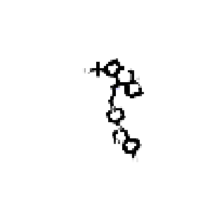 CC(C)(O)c1ccc2c(c1)/C(=C/CCN1CCC(N(CC(=O)O)Cc3ccc(Cl)cc3)CC1)C1=CC=CNC1CO2